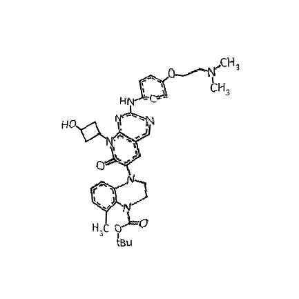 Cc1cccc2c1N(C(=O)OC(C)(C)C)CCN2c1cc2cnc(Nc3ccc(OCCN(C)C)cc3)nc2n(C2CC(O)C2)c1=O